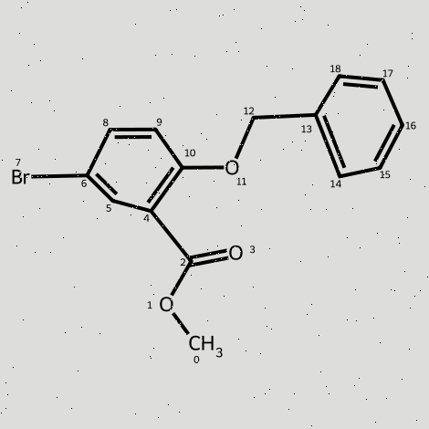 COC(=O)c1cc(Br)ccc1OCc1ccccc1